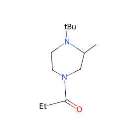 CCC(=O)N1CCN(C(C)(C)C)C(C)C1